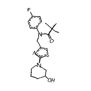 CC(C)(C)C(=O)N(Cc1csc(N2CCCC(O)C2)n1)c1ccc(F)cc1